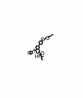 C/C=C(\C)NC(=O)C1=Cc2cc(-c3ccc(OCCOCCCC)cc3)ccc2N(C[C@H]2CCOC2)CC1